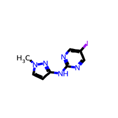 Cn1ccc(Nc2ncc(I)cn2)n1